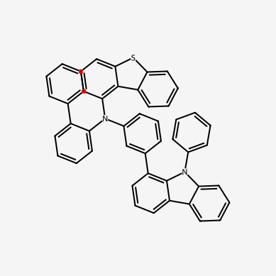 c1ccc(-c2ccccc2N(c2cccc(-c3cccc4c5ccccc5n(-c5ccccc5)c34)c2)c2cccc3sc4ccccc4c23)cc1